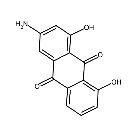 Nc1cc(O)c2c(c1)C(=O)c1cccc(O)c1C2=O